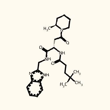 C[C@H]1CCCCN1C(=O)C[C@H](NC(=O)CCC(C)(C)C)C(=O)NCc1nc2ccccc2[nH]1